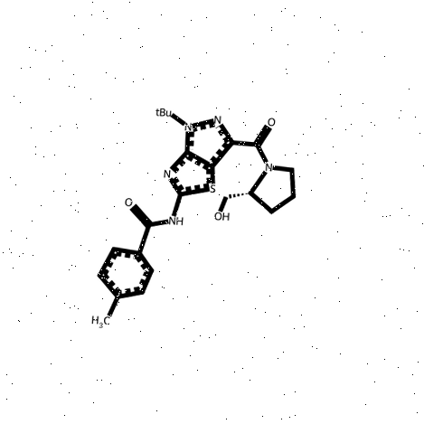 Cc1ccc(C(=O)Nc2nc3c(s2)c(C(=O)N2CCC[C@@H]2CO)nn3C(C)(C)C)cc1